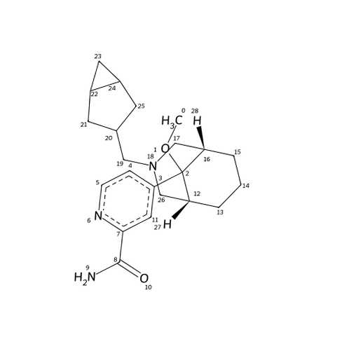 COC1(c2ccnc(C(N)=O)c2)[C@@H]2CCC[C@H]1CN(CC1CC3CC3C1)C2